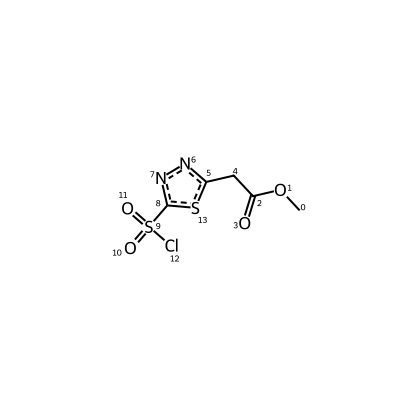 COC(=O)Cc1nnc(S(=O)(=O)Cl)s1